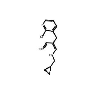 N=C/C(=C\NCC1CC1)Cc1cccnc1Cl